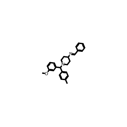 COc1cccc(C(c2ccc(C)cc2)N2CCC(N=Cc3ccccc3)CC2)c1